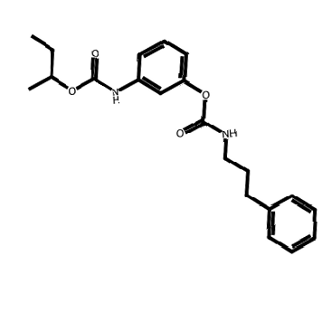 CCC(C)OC(=O)Nc1cccc(OC(=O)NCCCc2ccccc2)c1